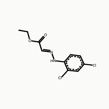 CCOC(=O)/C=N/Nc1ccc(Cl)cc1Cl